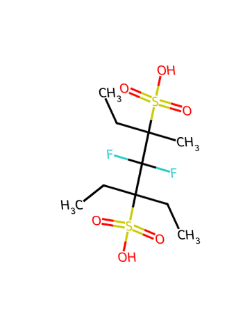 CCC(C)(C(F)(F)C(CC)(CC)S(=O)(=O)O)S(=O)(=O)O